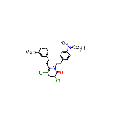 COc1cccc(C=Cc2c(Cl)cc(Cl)c(=O)n2CCc2ccc(N(C(=O)O)C(C)(C)C)cc2)c1